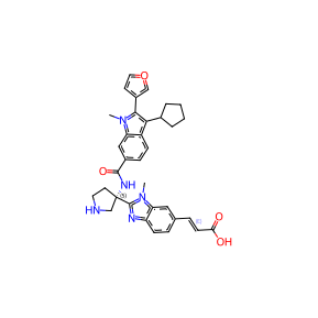 Cn1c([C@]2(NC(=O)c3ccc4c(C5CCCC5)c(-c5ccoc5)n(C)c4c3)CCNC2)nc2ccc(/C=C/C(=O)O)cc21